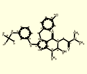 CN(C)C(=O)CN1C(=O)c2c(nc(Oc3cccc(OC(F)(F)F)c3)n2Cc2ccc(Cl)cc2)N(C)C1O